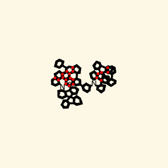 c1ccc(-c2ccccc2-c2ccccc2-c2ccccc2N(c2cccc(-c3cc(-c4ccccc4-c4ccc(-c5ccccc5N(c5ccccc5-c5ccccc5-c5ccccc5-c5ccccc5)c5cccc6c5-c5ccccc5C65c6ccccc6-c6ccccc65)cc4)c4ccccc4c3)c2)c2cccc3c2-c2ccccc2C32c3ccccc3-c3ccccc32)cc1